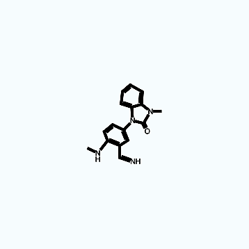 CNc1ccc(-n2c(=O)n(C)c3ccccc32)cc1C=N